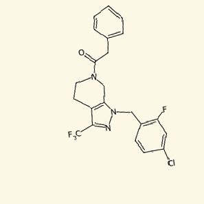 O=C(Cc1ccccc1)N1CCc2c(C(F)(F)F)nn(Cc3ccc(Cl)cc3F)c2C1